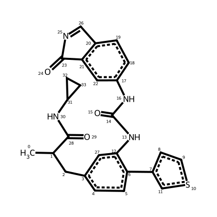 CC(Cc1ccc(-c2ccsc2)c(NC(=O)Nc2ccc3c(c2)C(=O)N=C3)c1)C(=O)NC1CC1